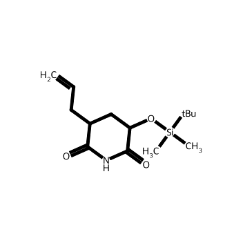 C=CCC1CC(O[Si](C)(C)C(C)(C)C)C(=O)NC1=O